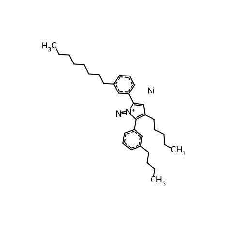 CCCCCCCCc1cccc(C2=CC(CCCCC)=C(c3cccc(CCCC)c3)[N+]2=[N-])c1.[Ni]